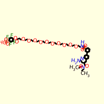 CCCN(OCC)C(=O)C1=Cc2ccc(-c3cccc(S(=O)(=O)NCCOCCOCCOCCOCCOCCOCCOCCOCCOCCOCCC(=O)Oc4c(F)c(F)c(S(=O)(=O)O)c(F)c4F)c3)cc2N=C(N)C1